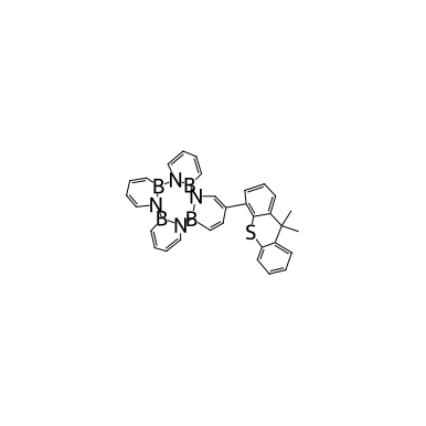 CC1(C)c2ccccc2Sc2c(C3=CN4B5C=CC=CN5B5C=CC=CN5B5C=CC=CN5B4C=C3)cccc21